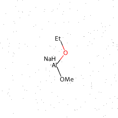 CC[O][Al][O]C.[NaH]